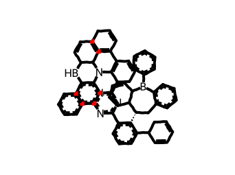 B1c2ccccc2N(C2=C(C3=CCCC=C3)C=CCC2c2nc(-c3ccccc3)nc(-c3cccc(C4C=CC=CC4)c3[C@H]3Cc4ccccc4B(c4ccccc4)C4C=CC=CC43)n2)C2C=CC=CC12